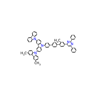 Cc1ccc2c(c1)c1cc(C)ccc1n2-c1ccc2c(c1)c1cc(-n3c4ccccc4c4ccccc43)ccc1n2-c1ccc(-c2ccc(-c3ccc(-c4cc(-c5ccccc5)nc(-c5ccccc5)n4)cc3C)cc2)cc1